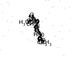 Cc1ccc(C(=O)NCc2cc3nc(-c4cccc(N5CC6(COCCN6C(=O)OC(C)(C)C)C5)n4)ccc3cn2)cc1S(C)(=O)=O